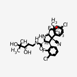 CC(C)(C)C[C@@H]1N[C@@H](C(=O)NCC[C@H](O)C(C)(C)O)[C@H](c2cccc(Cl)c2F)[C@@]1(C#N)c1ccc(Cl)cc1F